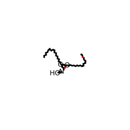 C=CCCC/C=C\C/C=C\CCCCCCCCOc1cc(CN2CC(O)C2)cc(OCCCCCCCC/C=C\C/C=C\CCCCC)c1